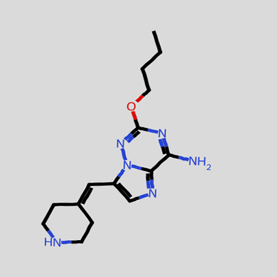 CCCCOc1nc(N)c2ncc(C=C3CCNCC3)n2n1